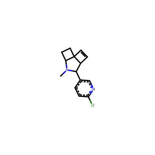 CN1C(c2ccc(Cl)nc2)C2C=CC23CCC13